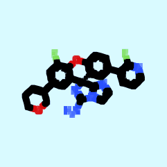 NC1=N[C@]2(c3cc(-c4cccnc4F)ccc3Oc3c(F)cc(C4=CCCOC4)cc32)c2nccn21